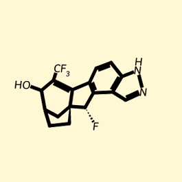 OC1C(C(F)(F)F)=C2c3ccc4[nH]ncc4c3[C@H](F)[C@@]23CCC1C3